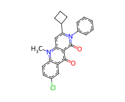 Cn1c2ccc(Cl)cc2c(=O)c2c(=O)n(-c3ccccc3)c(C3CCC3)cc21